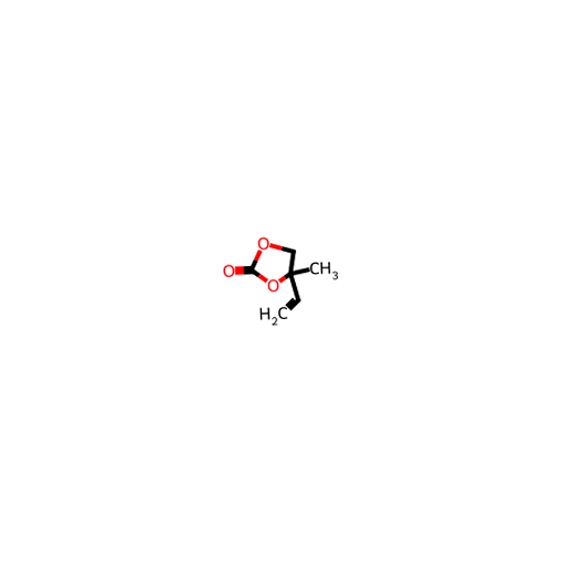 C=CC1(C)COC(=O)O1